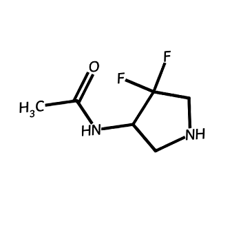 CC(=O)NC1CNCC1(F)F